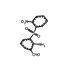 Nc1c(C=O)cccc1S(=O)(=O)c1ccccc1[N+](=O)[O-]